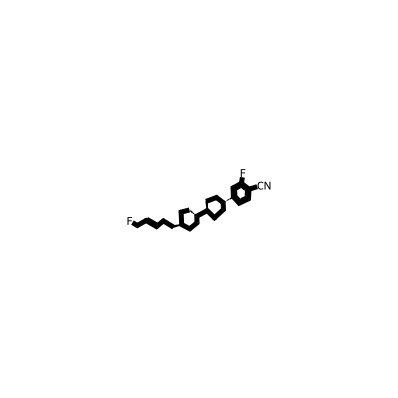 N#Cc1ccc([C@H]2CC[C@H]([C@H]3CC[C@H](CCC=CCF)CC3)CC2)cc1F